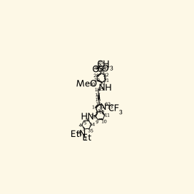 CCN(CC)C1CCC(Nc2cccc3c2cc(C#CCNc2ccc(S(C)(=O)=O)cc2OC)n3CC(F)(F)F)CC1